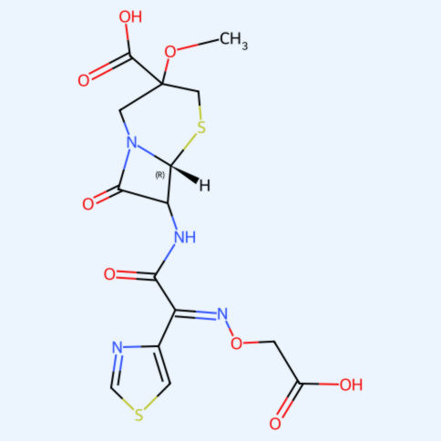 COC1(C(=O)O)CS[C@@H]2C(NC(=O)C(=NOCC(=O)O)c3cscn3)C(=O)N2C1